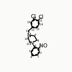 O=Nc1ccccc1N1CCN(Cc2ccc(Cl)c(Cl)c2)CC1